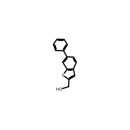 OCc1cc2ccc(-c3ccccc3)cc2s1